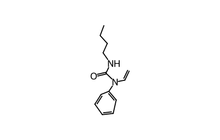 C=CN(C(=O)NCCCC)c1ccccc1